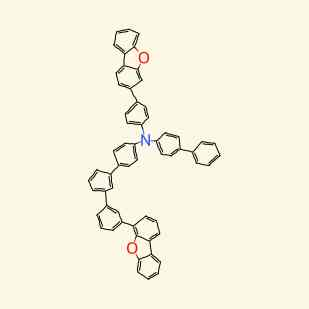 c1ccc(-c2ccc(N(c3ccc(-c4cccc(-c5cccc(-c6cccc7c6oc6ccccc67)c5)c4)cc3)c3ccc(-c4ccc5c(c4)oc4ccccc45)cc3)cc2)cc1